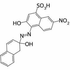 O=[N+]([O-])c1ccc2c(/N=N/C3(O)C=Cc4ccccc4C3)c(O)cc(S(=O)(=O)O)c2c1